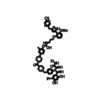 CCNC(=O)C(=N)N(C(=N)c1cc(C(C)C)c(O)cc1O)c1ccc(CN2CCC(C(=O)N3CCN(c4ccc(OC(O)NCCCOc5cccc(OC)c5-c5cc(Cc6cnc(C#N)cn6)n[nH]5)c(C)c4)CC3)CC2)cc1